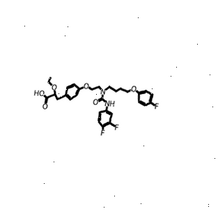 CCOC(Cc1ccc(OCCN(CCCCOc2ccc(F)cc2)C(=O)Nc2ccc(F)c(F)c2)cc1)C(=O)O